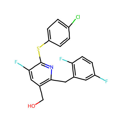 OCc1cc(F)c(Sc2ccc(Cl)cc2)nc1Cc1cc(F)ccc1F